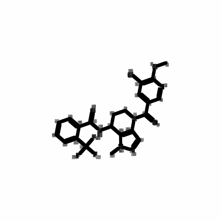 COc1ncc(C(=O)N2CCC(NC(=O)c3ccccc3C(F)(F)F)c3c2cnn3C)cc1Cl